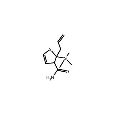 C=CCC1([Si](C)(C)C)SC=CC1C(N)=O